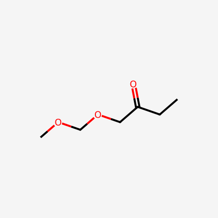 CCC(=O)COCOC